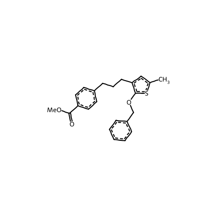 COC(=O)c1ccc(CCCc2cc(C)sc2OCc2ccccc2)cc1